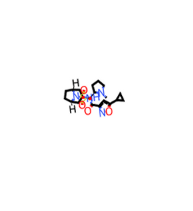 CN1CCC[C@@H]1CS(=O)(=O)N1[C@@H]2CC[C@H]1C[C@@H](NC(=O)c1cc(C3CC3)on1)C2